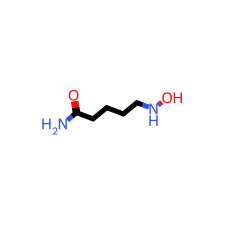 NC(=O)CCCCNO